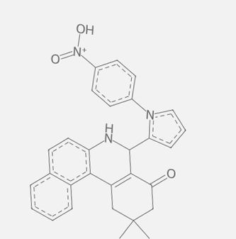 CC1(C)CC(=O)C2=C(C1)c1c(ccc3ccccc13)NC2c1cccn1-c1ccc([N+](=O)O)cc1